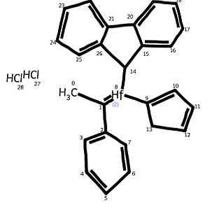 C/[C](c1ccccc1)=[Hf](/[C]1=CC=CC1)[CH]1c2ccccc2-c2ccccc21.Cl.Cl